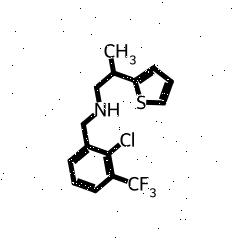 CC(CNCc1cccc(C(F)(F)F)c1Cl)c1cccs1